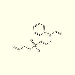 C=CCOS(=O)(=O)c1ccc(C=C)c2ccccc12